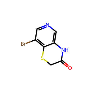 O=C1CSc2c(Br)cncc2N1